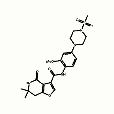 COc1cc(N2CCN(S(C)(=O)=O)CC2)ccc1NC(=O)c1coc2c1C(=O)NC(C)(C)C2